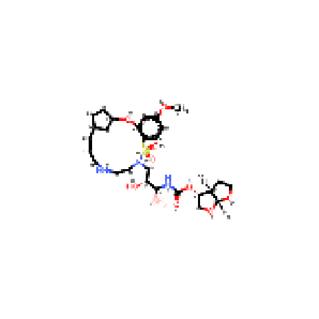 B[C@H](NC(=O)O[C@H]1CO[C@H]2OCC[C@H]21)[C@H](O)CN1CCNC/C=C\C2CCC(C2)Oc2cc(OC)ccc2S1(=O)=O